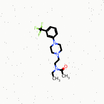 CCN(CCN1CCN(c2cccc(C(F)(F)F)c2)CC1)C(C)=O